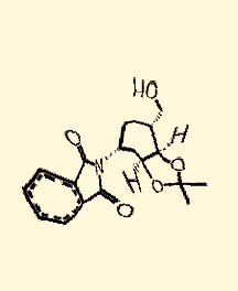 CC1(C)O[C@@H]2[C@@H](CO)C[C@@H](N3C(=O)c4ccccc4C3=O)[C@@H]2O1